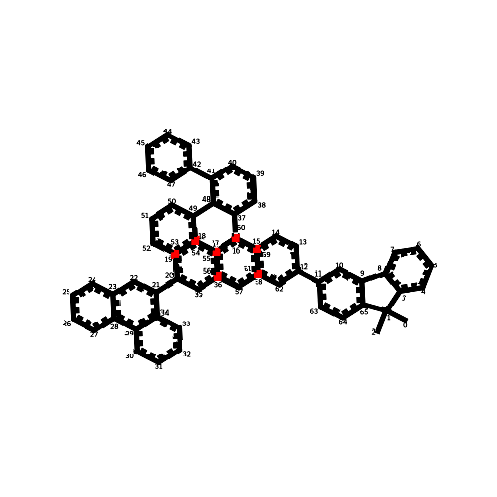 CC1(C)c2ccccc2-c2cc(-c3ccc(N(c4ccc(-c5cc6ccccc6c6ccccc56)cc4)c4cccc(-c5ccccc5)c4-c4ccccc4-c4ccccc4)cc3)ccc21